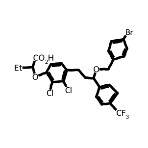 CCC(Oc1ccc(CCC(OCc2ccc(Br)cc2)c2ccc(C(F)(F)F)cc2)c(Cl)c1Cl)C(=O)O